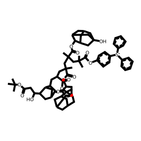 CC1C2CC(C(O)CC(=O)OC(C)(C)C)C(C2)C1CC(CC(C)(CC(C)(CC(C)(C)C(=O)Oc1ccc([S+](c2ccccc2)c2ccccc2)cc1)C(=O)OC1C2CC3CC1CC(O)(C3)C2)C(=O)OC1CCOC1=O)C(=O)OC1(C)C2CC3CC(C2)CC1C3